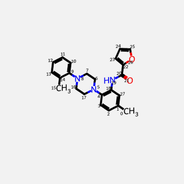 Cc1ccc(N2CCN(c3ccccc3C)CC2)c(NC(=O)c2ccco2)c1